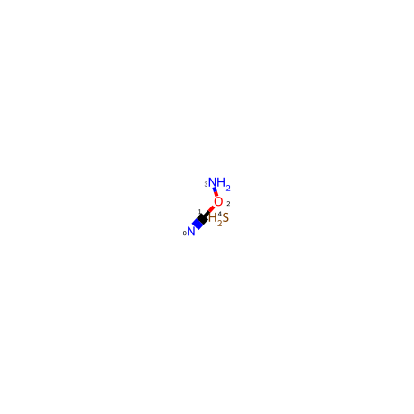 N#CON.S